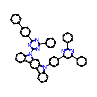 c1ccc(-c2ccc(-c3nc(-c4ccccc4)nc(-n4c5ccccc5c5cc6c7ccccc7n(-c7ccc(-c8cc(-c9ccccc9)nc(-c9ccccc9)n8)cc7)c6cc54)n3)cc2)cc1